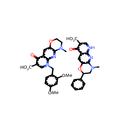 CN1CC(c2ccccc2)Oc2cc3c(=O)c(C(=O)O)c[nH]c3nc21.COc1ccc(Cn2cc(C(=O)O)c(=O)c3cc4c(nc32)N(C)CCO4)c(OC)c1